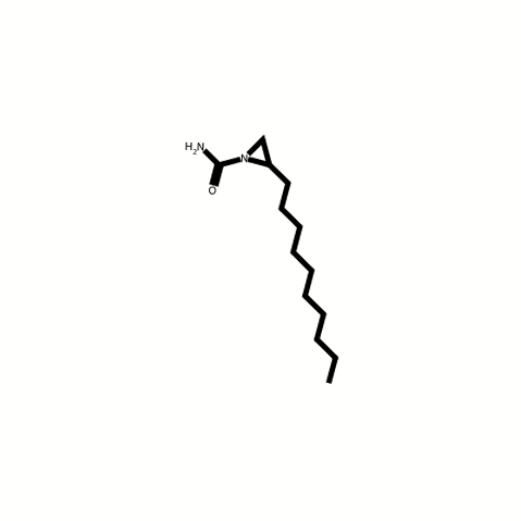 CCCCCCCCCCC1CN1C(N)=O